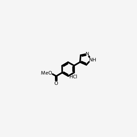 COC(=O)c1ccc(-c2cn[nH]c2)cc1.Cl